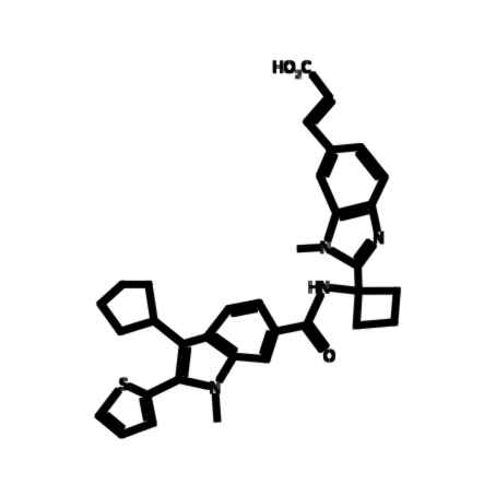 Cn1c(C2(NC(=O)c3ccc4c(C5CCCC5)c(-c5cccs5)n(C)c4c3)CCC2)nc2ccc(/C=C/C(=O)O)cc21